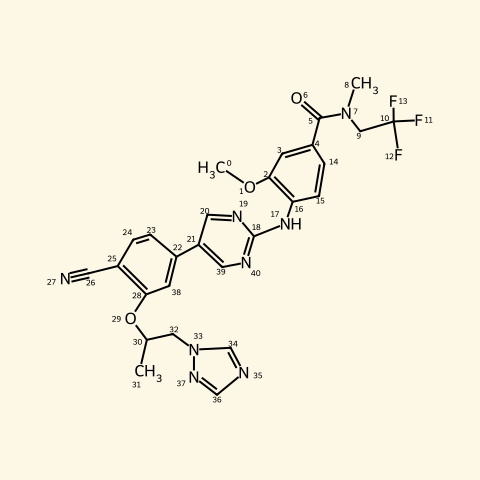 COc1cc(C(=O)N(C)CC(F)(F)F)ccc1Nc1ncc(-c2ccc(C#N)c(OC(C)Cn3cncn3)c2)cn1